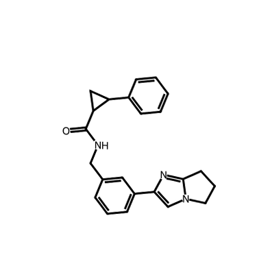 O=C(NCc1cccc(-c2cn3c(n2)CCC3)c1)C1CC1c1ccccc1